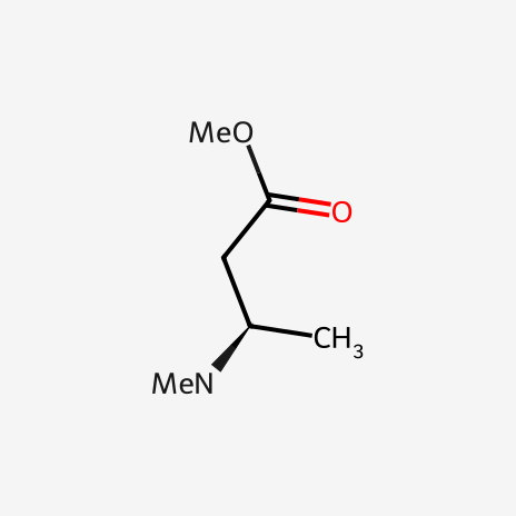 CN[C@H](C)CC(=O)OC